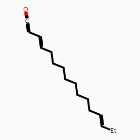 CCC=CCCCCCCCCC=CC=C=O